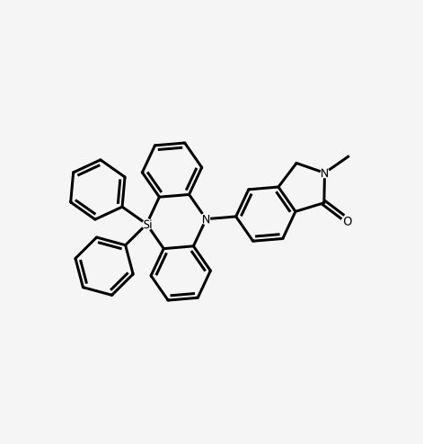 CN1Cc2cc(N3c4ccccc4[Si](c4ccccc4)(c4ccccc4)c4ccccc43)ccc2C1=O